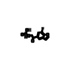 O=C(CO[PH](=O)O)c1cc(F)c2occc2c1